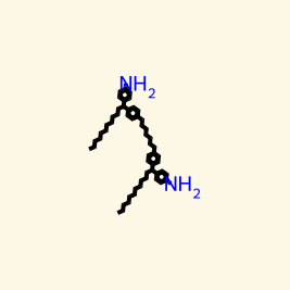 CCCCCCCCCCCC(c1ccc(N)cc1)c1ccc(CCCCCCCc2ccc(C(CCCCCCCCCCC)c3ccc(N)cc3)cc2)cc1